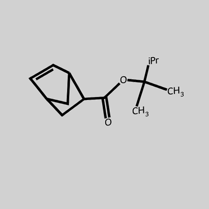 CC(C)C(C)(C)OC(=O)C1CC2C=CC1C2